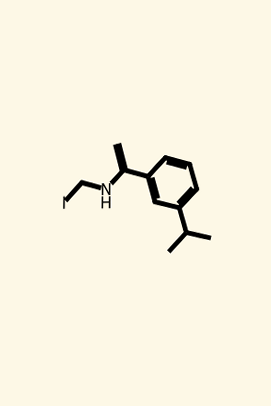 C=C(NCI)c1cccc(C(C)C)c1